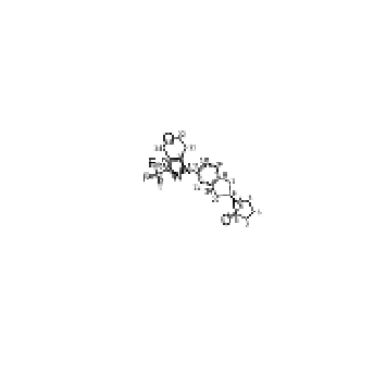 O=C1CCCN1[C@@H]1Cc2ccc(-n3nc(C(F)(F)F)c4c3CCOC4)cc2C1